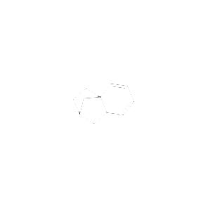 C1=CC2CC3CCC2(C=C1)C3